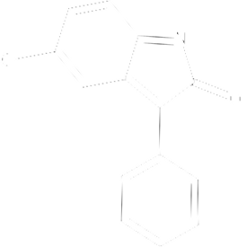 O=C1N=c2ccc(Cl)cc2=C1c1ccccc1